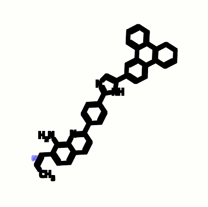 C/C=C\c1ccc2ccc(-c3ccc(-c4ncc(-c5ccc6c7c(c8ccccc8c6c5)CCC=C7)[nH]4)cc3)nc2c1N